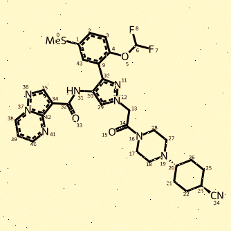 CSc1ccc(OC(F)F)c(-c2nn(CC(=O)N3CCN([C@H]4CC[C@H](C#N)CC4)CC3)cc2NC(=O)c2cnn3cccnc23)c1